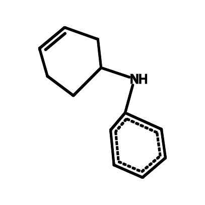 C1=CCC(Nc2ccccc2)CC1